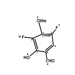 COc1c(F)cc(C=O)c(O)c1F